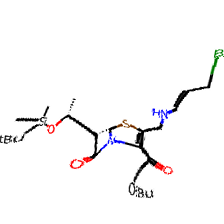 CC(C)COC(=O)C1=C(CN/C=C/CBr)SC2[C@@H]([C@@H](C)O[Si](C)(C)C(C)(C)C)C(=O)N12